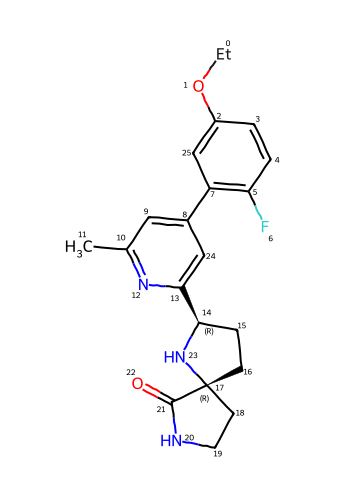 CCOc1ccc(F)c(-c2cc(C)nc([C@H]3CC[C@]4(CCNC4=O)N3)c2)c1